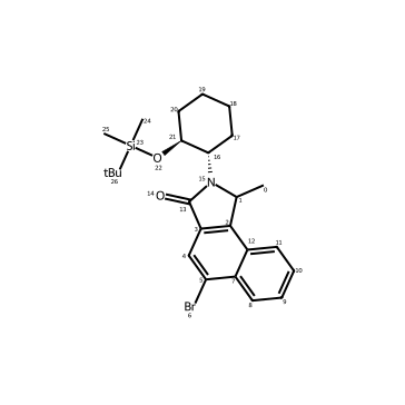 CC1c2c(cc(Br)c3ccccc23)C(=O)N1[C@H]1CCCC[C@@H]1O[Si](C)(C)C(C)(C)C